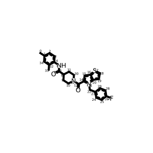 Cc1ccc(NC(=O)C2CCN(C(=O)c3cc4sccc4n3Cc3ccc(F)cc3)CC2)c(C)c1